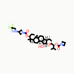 CC(C)[C@@H](OC(=O)N1CCC1)[C@H]1C[C@@H](C)[C@H]2[C@H](O1)[C@H](O)[C@@]1(C)[C@@H]3CC[C@H]4C(C)(C)[C@@H](OC(=O)N5CC(NCC(F)(F)F)C5)CC[C@@]45C[C@@]35CC[C@]21C